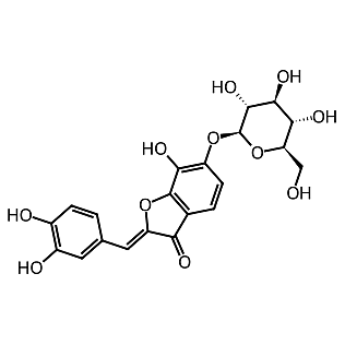 O=C1/C(=C/c2ccc(O)c(O)c2)Oc2c1ccc(O[C@@H]1O[C@H](CO)[C@@H](O)[C@H](O)[C@H]1O)c2O